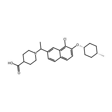 CC(c1ccc2ccc(O[C@H]3CC[C@@H](C)CC3)c(Cl)c2c1)N1CCC(C(=O)O)CC1